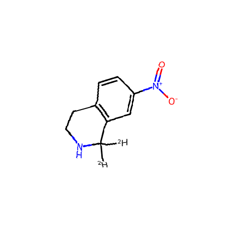 [2H]C1([2H])NCCc2ccc([N+](=O)[O-])cc21